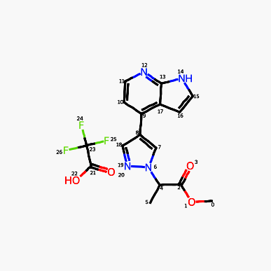 COC(=O)C(C)n1cc(-c2ccnc3[nH]ccc23)cn1.O=C(O)C(F)(F)F